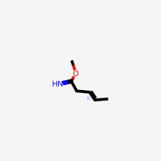 C/C=C/CC(=N)OC